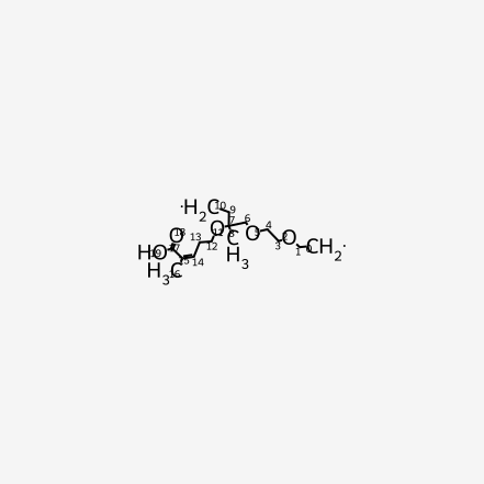 [CH2]COCCOCC(C)(C[CH2])OCCC=C(C)C(=O)O